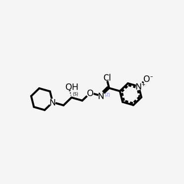 [O-][n+]1cccc(/C(Cl)=N/OC[C@@H](O)CN2CCCCC2)c1